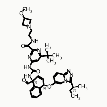 CC[C@H](C)c1nnc2ccc(O[C@@H]3C=C[C@](C=O)(NC(=O)Nc4cc(C(C)(C)C)nc(C(=O)NCCN5CC(OC)C5)n4)c4ccccc43)cn12